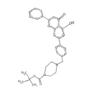 CC(C)(C)OC(=O)N1CCN(Cc2ccc(-c3cc(O)c4c(=O)cc(-c5ccccc5)oc4c3)cc2)CC1